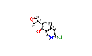 C=C(C(=O)c1cnc(Cl)cc1CC)C1COC1